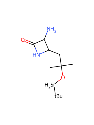 CC(C)(CC1NC(=O)C1N)O[SiH2]C(C)(C)C